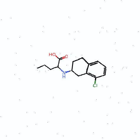 CCCC(N[C@H]1CCc2cccc(Cl)c2C1)C(=O)O